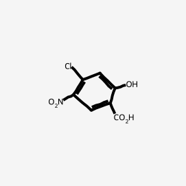 O=C(O)c1cc([N+](=O)[O-])c(Cl)cc1O